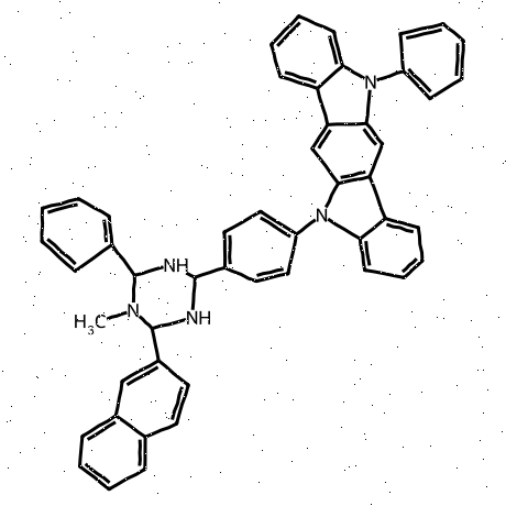 CN1C(c2ccccc2)NC(c2ccc(-n3c4ccccc4c4cc5c(cc43)c3ccccc3n5-c3ccccc3)cc2)NC1c1ccc2ccccc2c1